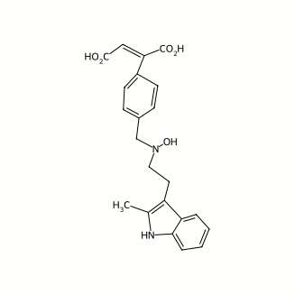 Cc1[nH]c2ccccc2c1CCN(O)Cc1ccc(/C(=C\C(=O)O)C(=O)O)cc1